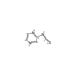 S=C=Nc1[c]nccn1